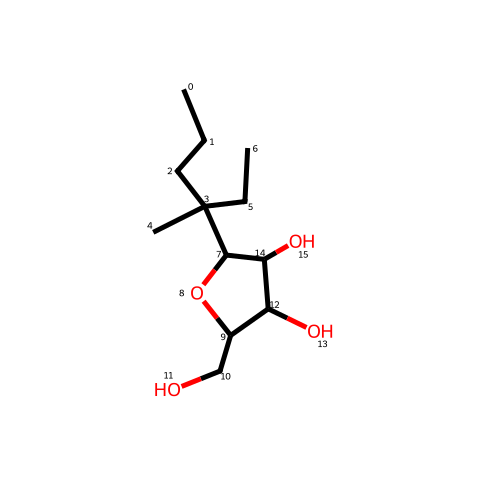 CCCC(C)(CC)C1OC(CO)C(O)C1O